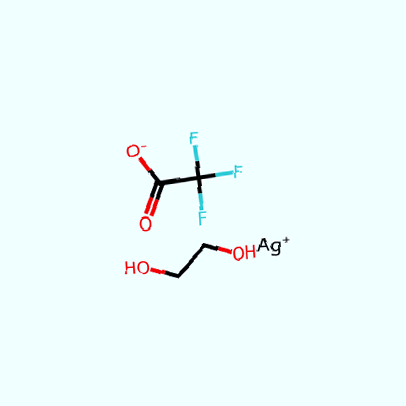 O=C([O-])C(F)(F)F.OCCO.[Ag+]